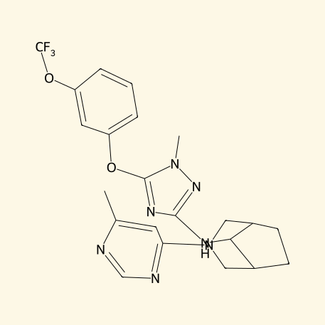 Cc1cc(N2CC3CCC(C2)C3Nc2nc(Oc3cccc(OC(F)(F)F)c3)n(C)n2)ncn1